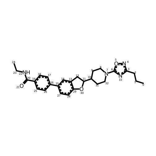 CCCc1noc(N2CCC(C3Cc4cc(-c5ccc(C(=O)NCC)cc5)ccc4O3)CC2)n1